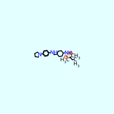 CCC(C)(C)S(=O)(=O)NC1CCC(CNc2ccc(N3CCCC3)cc2)CC1